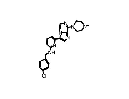 CN1CCN(c2nccn3c(-c4cccc(NCc5ccc(Cl)cc5)n4)cnc23)CC1